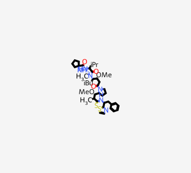 CCC(C)C(C(CC(=O)N1CCCC1C(OC)C(C)C(=S)NC(Cc1ccccc1)c1nccs1)OC)N(C)C(=O)C(NC(=O)C1(N)CCCC1)C(C)C